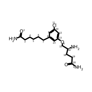 NC(=O)CCCCCc1cc(Cl)cc(OC[C@@H](N)CCC(N)=O)c1